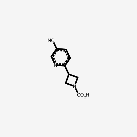 N#Cc1ccc(C2CN(C(=O)O)C2)nc1